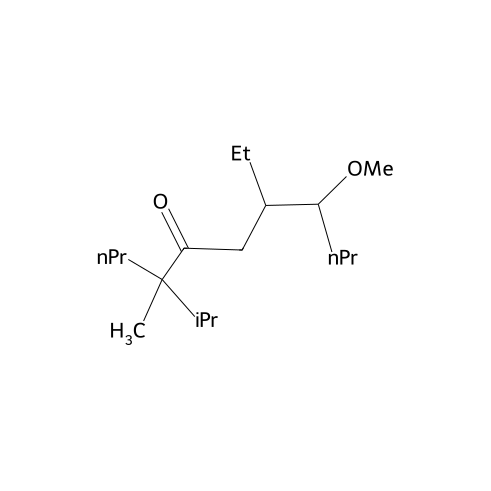 CCCC(OC)C(CC)CC(=O)C(C)(CCC)C(C)C